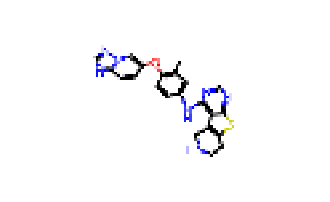 Cc1cc(Nc2ncnc3sc4c(c23)CNCC4)ccc1Oc1ccc2ncnn2c1